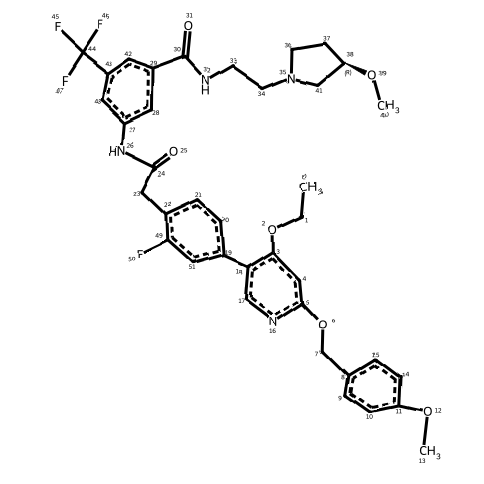 CCOc1cc(OCc2ccc(OC)cc2)ncc1-c1ccc(CC(=O)Nc2cc(C(=O)NCCN3CC[C@@H](OC)C3)cc(C(F)(F)F)c2)c(F)c1